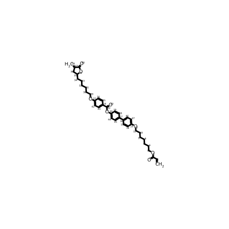 C=CC(=O)OCCCCCCCOc1ccc(-c2ccc(OC(=O)c3ccc(OCCCCCCC4CC(=C)C(=O)O4)cc3)cc2)cc1